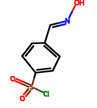 O=S(=O)(Cl)c1ccc(C=NO)cc1